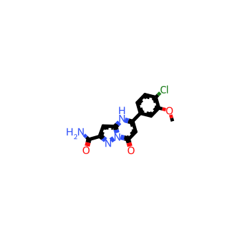 COc1cc(-c2cc(=O)n3nc(C(N)=O)cc3[nH]2)ccc1Cl